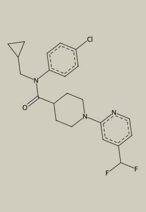 O=C(C1CCN(c2cc(C(F)F)ccn2)CC1)N(CC1CC1)c1ccc(Cl)cc1